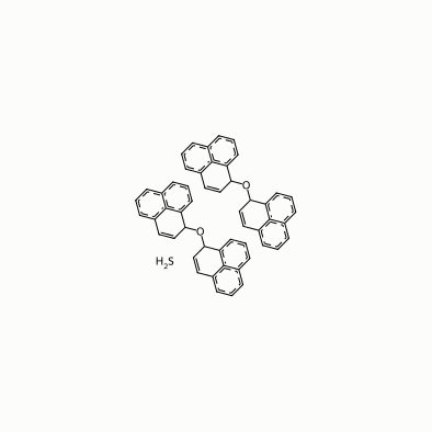 C1=CC(OC2C=Cc3cccc4cccc2c34)c2cccc3cccc1c23.C1=CC(OC2C=Cc3cccc4cccc2c34)c2cccc3cccc1c23.S